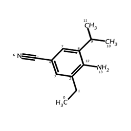 CCc1cc(C#N)cc(C(C)C)c1N